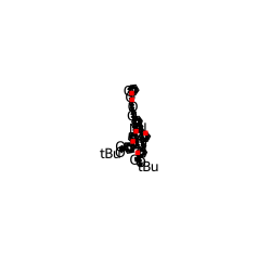 CC(C)(C)OC(=O)C1CCC(COc2cccc(-c3nc4ccc(OCCOCCOC5CCCCO5)cc4nc3-c3cccc(OCC4CCC(C(=O)OC(C)(C)C)CC4)c3)c2)CC1